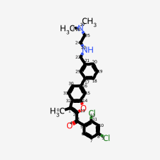 Cc1c(C(=O)c2ccc(Cl)cc2Cl)oc2cc(-c3cccc(CNCCN(C)C)c3)ccc12